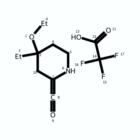 CCOC1(CC)CCNC(=C=O)C1.O=C(O)C(F)(F)F